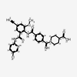 C#Cc1cc(OC)c(NC(=O)c2ccc(C(=N)N3CCC(C(=O)O)CC3)cc2)c(C(=O)Nc2ccc(Cl)cn2)c1